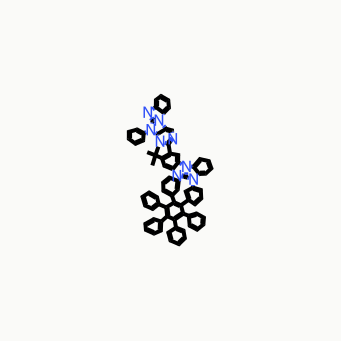 CC(C)(C)c1cc2nc3n(-c4cccc(-c5c(-c6ccccc6)c(-c6ccccc6)c(-c6ccccc6)c(-c6ccccc6)c5-c5ccccc5)c4)c4ccccc4n3c2cc1-c1ncc2c(n1)n(-c1ccccc1)c1nc3ccccc3n21